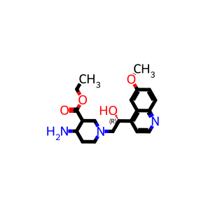 CCOC(=O)C1CN(C[C@H](O)c2ccnc3ccc(OC)cc23)CCC1N